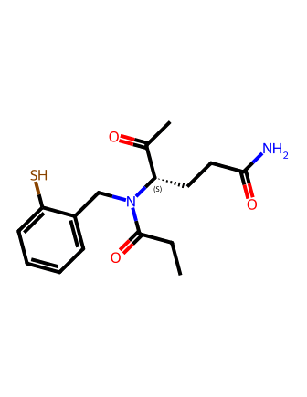 CCC(=O)N(Cc1ccccc1S)[C@@H](CCC(N)=O)C(C)=O